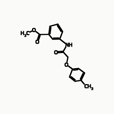 COC(=O)c1cccc(NC(=O)COc2ccc(C)cc2)c1